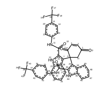 O=C1C=CC(=O)C(c2c(C(=O)Nc3ccc(C(F)(F)F)cc3)[nH]c3ccccc23)(c2c(C(=O)Nc3ccc(C(F)(F)F)cc3)[nH]c3ccccc23)C1